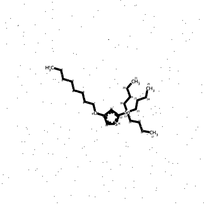 CCCCCCCCOc1cs[c]([Sn]([CH2]CCC)([CH2]CCC)[CH2]CCC)c1